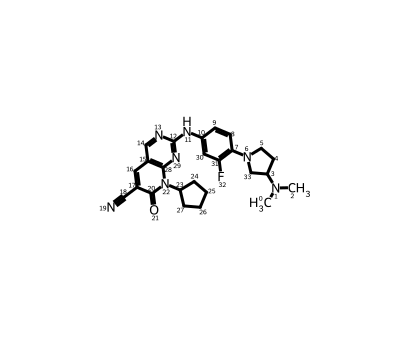 CN(C)C1CCN(c2ccc(Nc3ncc4cc(C#N)c(=O)n(C5CCCC5)c4n3)cc2F)C1